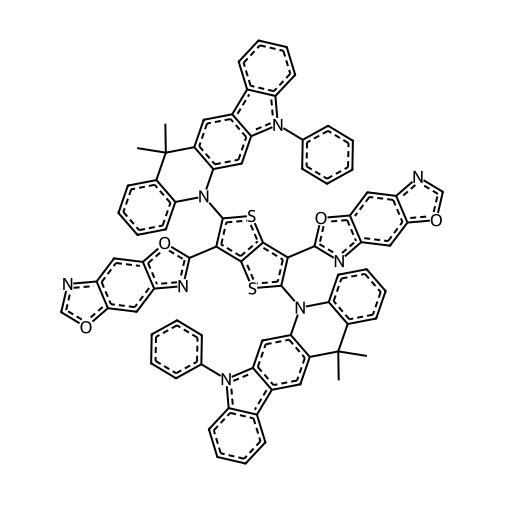 CC1(C)c2ccccc2N(c2sc3c(-c4nc5cc6ocnc6cc5o4)c(N4c5ccccc5C(C)(C)c5cc6c7ccccc7n(-c7ccccc7)c6cc54)sc3c2-c2nc3cc4ocnc4cc3o2)c2cc3c(cc21)c1ccccc1n3-c1ccccc1